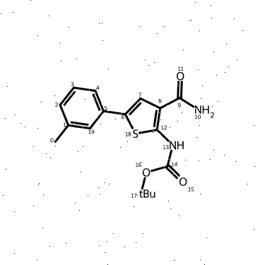 Cc1cccc(-c2cc(C(N)=O)c(NC(=O)OC(C)(C)C)s2)c1